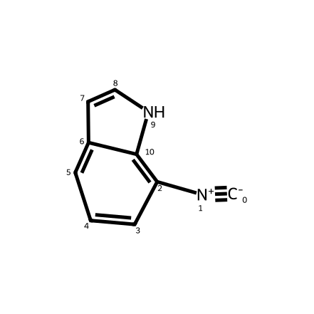 [C-]#[N+]c1cccc2cc[nH]c12